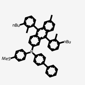 CCCCc1cccc(-c2c3ccc(N(c4ccc(SC)cc4)c4ccc(-c5ccccc5)cc4)cc3c(-c3cccc(CCCC)c3C)c3ccc(C)cc23)c1C